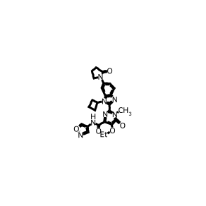 CCOc1c(C(=O)Nc2cnoc2)nc(-c2nc3ccc(N4CCCC4=O)cc3n2C2CCC2)n(C)c1=O